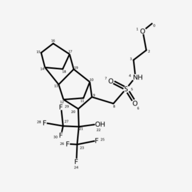 COCCNS(=O)(=O)CC1C2CC(C3C4CCC(C4)C23)C1C(O)(C(F)(F)F)C(F)(F)F